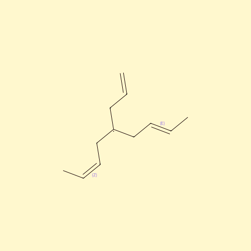 C=CC[C](C/C=C\C)C/C=C/C